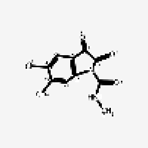 CNC(=O)N1C(=O)C(=O)c2cc(Cl)c(Cl)cc21